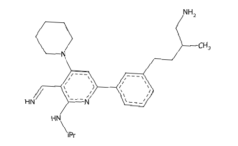 CC(CN)CCc1cccc(-c2cc(N3CCCCC3)c(C=N)c(NC(C)C)n2)c1